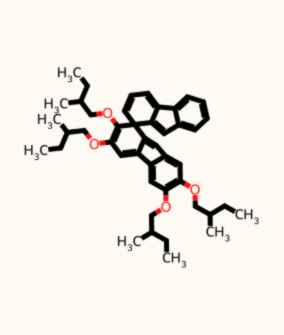 CCC(C)COC1=C(OCC(C)CC)C2(C=CC=C3C2=Cc2ccccc23)C2=Cc3cc(OCC(C)CC)c(OCC(C)CC)cc3C2=C1